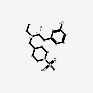 CCN(CC1CCN(S(C)(=O)=O)CC1)[C@H](C)Cc1cccc(Cl)c1